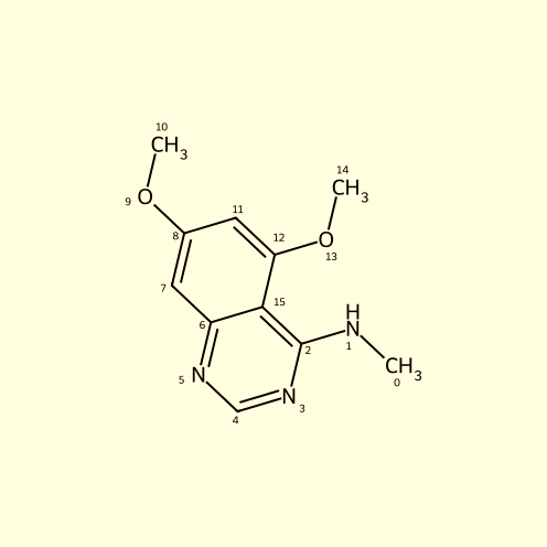 CNc1ncnc2cc(OC)cc(OC)c12